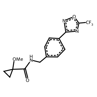 COC1(C(=O)NCc2ccc(-c3noc(C(F)(F)F)n3)cc2)CC1